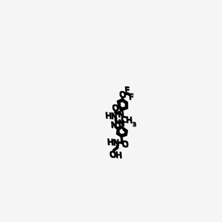 Cn1c(Nc2nc3ccc(OC(F)F)cc3o2)nc2cc(C(=O)NCCO)ccc21